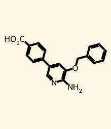 Nc1ncc(-c2ccc(C(=O)O)cc2)cc1OCc1ccccc1